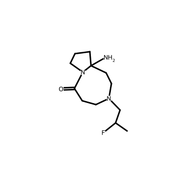 CC(F)CN1CCC(=O)N2CCCC2(N)CC1